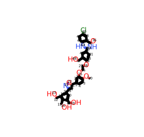 COc1ccc(C2CC(c3cc(CO)c(CO)c(CO)c3)=NO2)cc1OCCOc1ccc(C2NC(=O)c3cc(Cl)ccc3N2)cc1CO